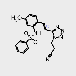 Cc1ccc(/C=C/c2nnnn2CCC#N)c(NS(=O)(=O)c2ccccc2)c1